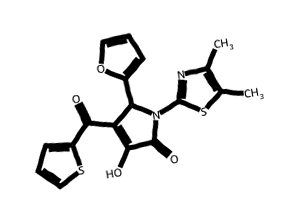 Cc1nc(N2C(=O)C(O)=C(C(=O)c3cccs3)C2c2ccco2)sc1C